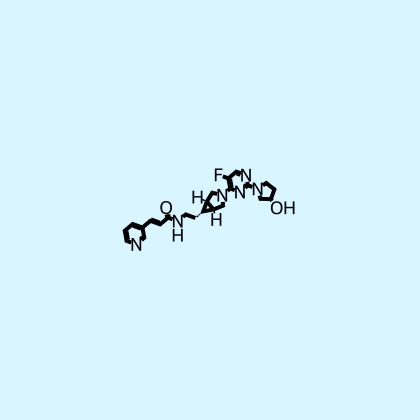 O=C(/C=C/c1cccnc1)NCC[C@@H]1[C@H]2CN(c3nc(N4CCC(O)C4)ncc3F)C[C@@H]12